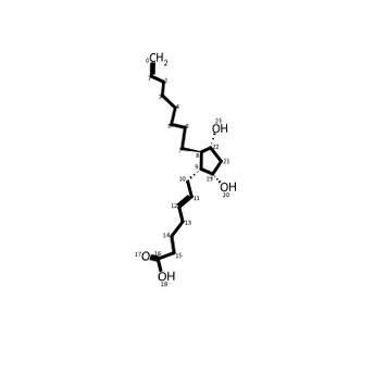 C=CCCCCCC[C@@H]1[C@@H](CC=CCCCC(=O)O)[C@@H](O)C[C@H]1O